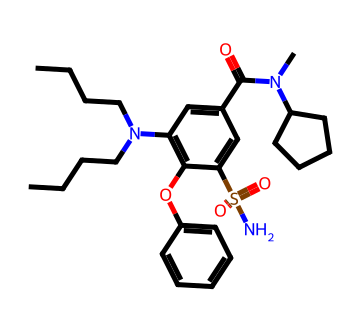 CCCCN(CCCC)c1cc(C(=O)N(C)C2CCCC2)cc(S(N)(=O)=O)c1Oc1ccccc1